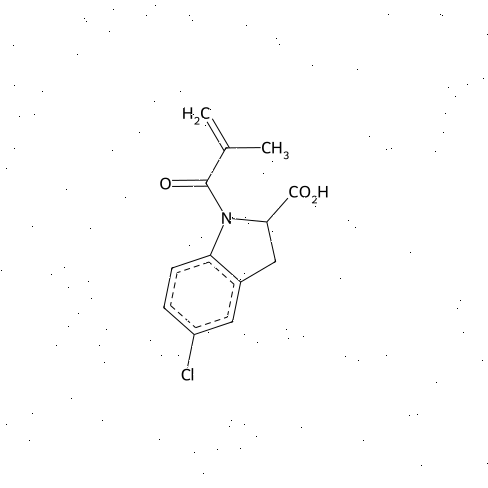 C=C(C)C(=O)N1c2ccc(Cl)cc2CC1C(=O)O